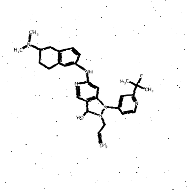 C=CCN1C(O)c2cnc(Nc3ccc4c(c3)CCC(N(C)C)C4)cc2N1c1ccnc(C(C)(C)F)c1